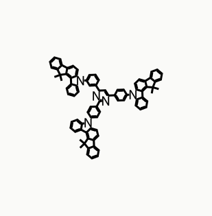 CC1(C)c2ccccc2-c2ccc3c(c21)c1ccccc1n3-c1ccc(-c2cc(-c3cccc(-n4c5ccccc5c5c6c(ccc54)-c4ccccc4C6(C)C)c3)nc(-c3ccc(-n4c5ccccc5c5c6c(ccc54)-c4ccccc4C6(C)C)cc3)n2)cc1